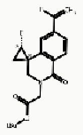 C=C(F)c1ccc2c(c1)[C@]1(C[C@@H]1F)CN(CC(=O)OC(C)(C)C)C2=O